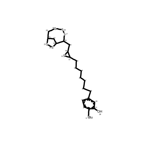 CC(C)(C)c1ccc(CCCCCCCC2SC2CC2SSSCC3CC2SS3)cc1O